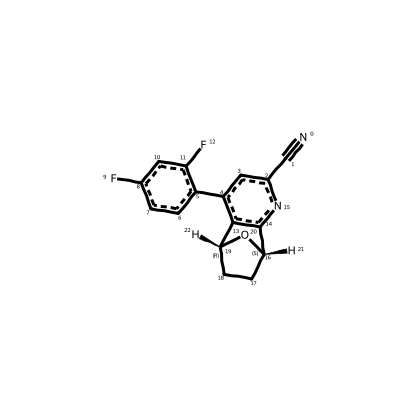 N#Cc1cc(-c2ccc(F)cc2F)c2c(n1)[C@@H]1CC[C@H]2O1